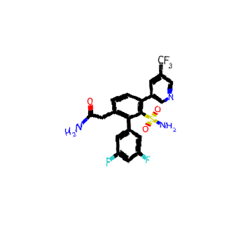 NC(=O)Cc1ccc(-c2cncc(C(F)(F)F)c2)c(S(N)(=O)=O)c1-c1cc(F)cc(F)c1